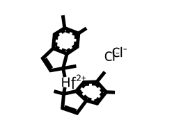 Cc1cc2c(cc1C)[C](C)([Hf+2][C]1(C)C=Cc3cc(C)c(C)cc31)C=C2.[Cl-].[Cl-]